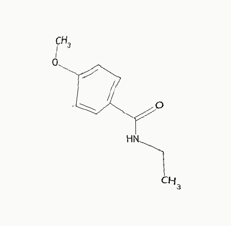 CCNC(=O)c1c[c]c(OC)cc1